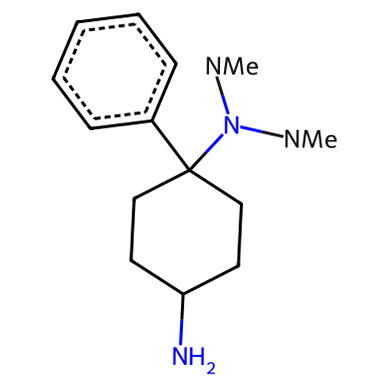 CNN(NC)C1(c2ccccc2)CCC(N)CC1